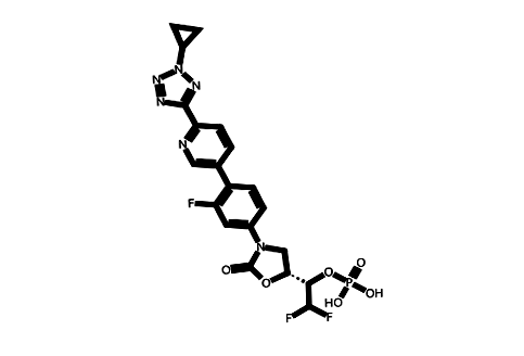 O=C1O[C@@H](C(OP(=O)(O)O)C(F)F)CN1c1ccc(-c2ccc(-c3nnn(C4CC4)n3)nc2)c(F)c1